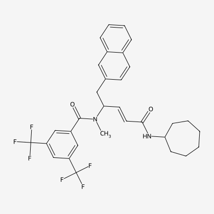 CN(C(=O)c1cc(C(F)(F)F)cc(C(F)(F)F)c1)C(C=CC(=O)NC1CCCCCC1)Cc1ccc2ccccc2c1